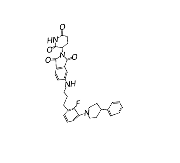 O=C1CCC(N2C(=O)c3ccc(NCCCc4cccc(N5CCC(c6ccccc6)CC5)c4F)cc3C2=O)C(=O)N1